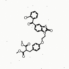 COC(=O)C(Cc1ccc(OCCn2c(=O)sc3cc(C(=O)c4ccccc4Cl)ccc32)cc1)C(=O)OC